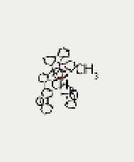 Cc1ccc(C2(c3ccc(C)cc3)c3ccccc3-c3cccc(-c4c5cccc(-c6ccc7c(c6)oc6ccccc67)c5cc5c(-c6ccc7c(c6)oc6ccccc67)cccc45)c32)cc1